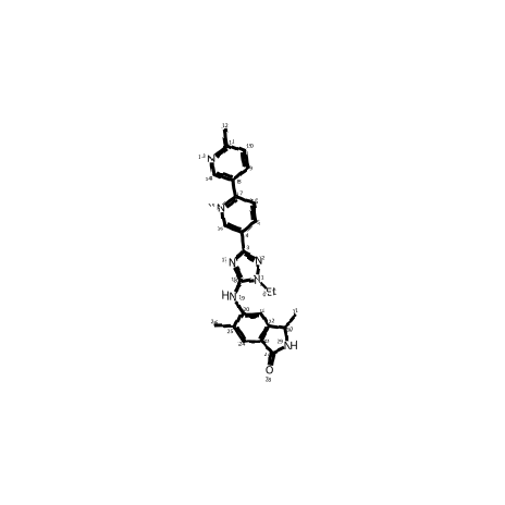 CCn1nc(-c2ccc(-c3ccc(C)nc3)nc2)nc1Nc1cc2c(cc1C)C(=O)NC2C